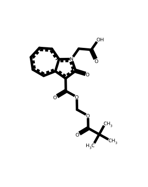 CC(C)(C)C(=O)OCOC(=O)c1c2cccccc-2n(CC(=O)O)c1=O